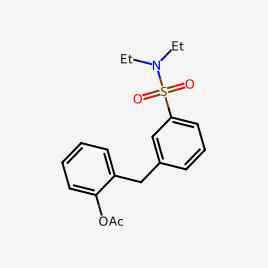 CCN(CC)S(=O)(=O)c1cccc(Cc2ccccc2OC(C)=O)c1